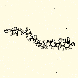 CC(C)(C)c1cnc(CSc2cnc(NC(=O)N3CCN(C4CCN(Cc5cc6c(cc5F)C(=O)N(C5CCC(=O)NC5=O)C6)CC4)CC3)s2)o1